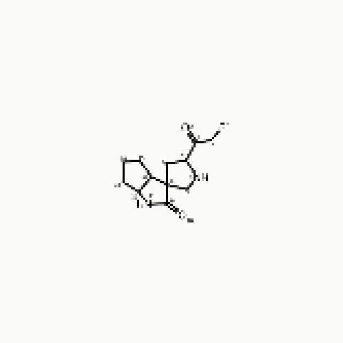 O=C(CF)C1CC2(CN1)C(=O)NC1CCCC12